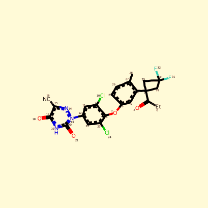 CCC(=O)C1(c2cc(Oc3c(Cl)cc(-n4nc(C#N)c(=O)[nH]c4=O)cc3Cl)ccc2C)CC(F)(F)C1